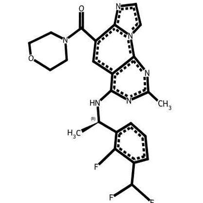 Cc1nc(N[C@H](C)c2cccc(C(F)F)c2F)c2cc(C(=O)N3CCOCC3)c3nccn3c2n1